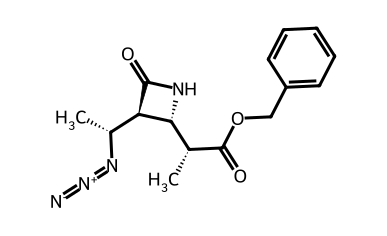 C[C@@H](N=[N+]=[N-])[C@H]1C(=O)N[C@@H]1[C@@H](C)C(=O)OCc1ccccc1